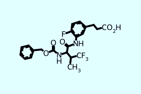 CC(C(NC(=O)OCc1ccccc1)C(=O)Nc1cc(CCC(=O)O)ccc1F)C(F)(F)F